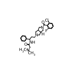 CN(C)CC(=O)NC(CCN1CC2CN(C(=O)c3c(F)cccc3Cl)C[C@@H]2C1)c1ccccc1